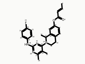 C/C=C/C(=O)Oc1ccc2c(c1)C(C)N(c1nc(Nc3ccc(F)cc3)nc(C)c1C)CC2